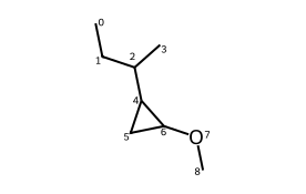 CCC(C)C1CC1OC